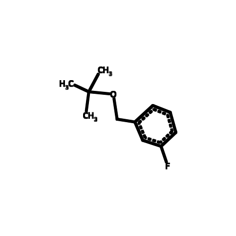 CC(C)(C)OCc1cccc(F)c1